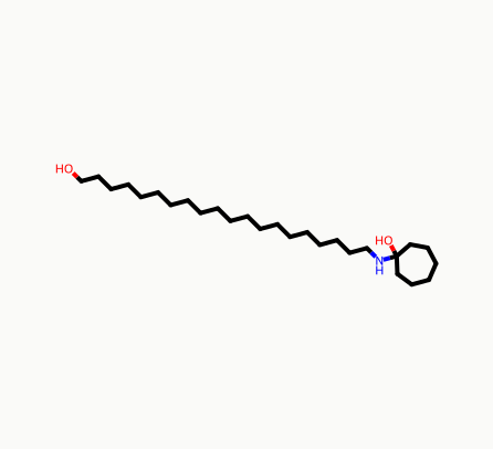 OCCCCCCCCCCCCCCCCCCCCNC1(O)CCCCCC1